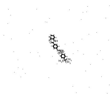 CC(C)(C)c1ccc(S(=O)(=O)NCc2ccc(C(=O)Nc3cccnc3F)cc2)cc1